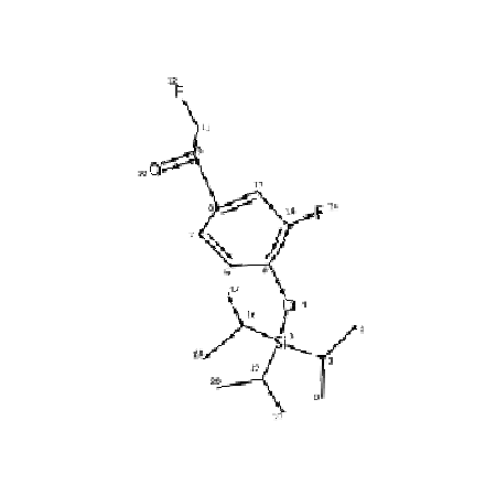 CC(C)[Si](Oc1ccc(C(=O)CF)cc1F)(C(C)C)C(C)C